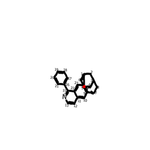 C1=C2CC3CC1CC(C3)c1cc3ccnc(-c4ccccc4)c3cc12